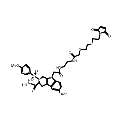 COc1ccc(S(=O)(=O)N2Cc3c(c4cc(OC)ccc4n3CC(=O)NCCNC(=O)COCCOCCN3C(=O)C=CC3=O)CC2C(=O)NO)cc1